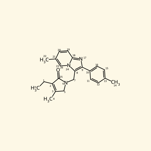 CCC1=C(C)CN(Cc2c(-c3ccc(C)cc3)nc3ccc(C)cn23)C1=O